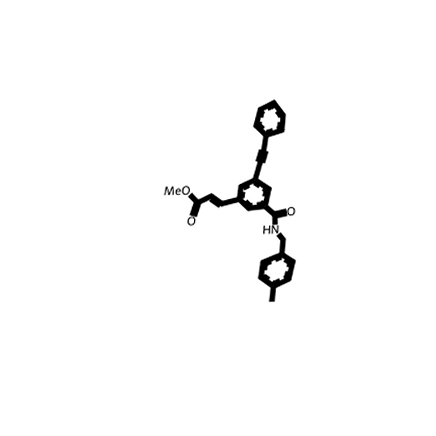 COC(=O)/C=C/c1cc(C#Cc2ccccc2)cc(C(=O)NCc2ccc(C)cc2)c1